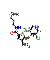 CSCCCNC(=O)c1cc([N+](=O)[O-])c(Sc2c(Cl)cncc2Cl)s1